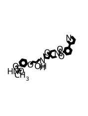 CNS(=O)(=O)c1cccc(OCC(O)CNC2COC3(CCN(S(=O)(=O)c4cccc(-c5cccnc5)c4)CC3)C2)c1